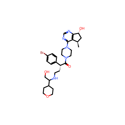 C[C@@H]1C[C@@H](O)c2ncnc(N3CCN(C(=O)[C@H](CCNC(CO)C4CCOCC4)c4ccc(Br)cc4)CC3)c21